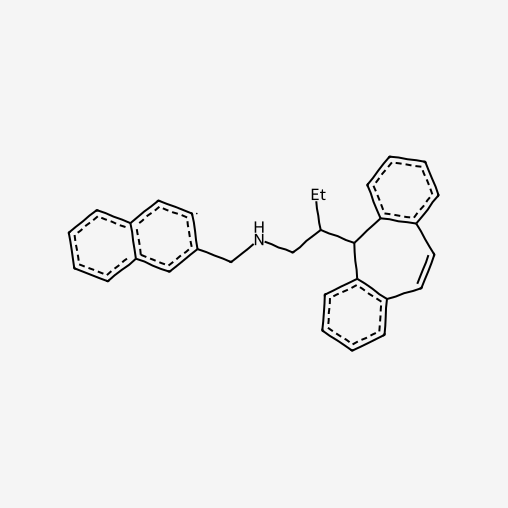 CCC(CNCc1[c]cc2ccccc2c1)C1c2ccccc2C=Cc2ccccc21